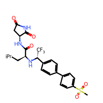 CC(C)C[C@H](N[C@@H](c1ccc(-c2ccc(S(C)(=O)=O)cc2)cc1)C(F)(F)F)C(=O)N[C@H]1CC(=O)NC1=O